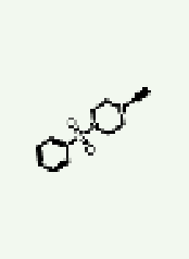 C#CN1CCN(S(=O)(=O)c2ccccc2)CC1